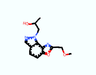 COCc1nc2c(ccc3cnn(CC(C)O)c32)o1